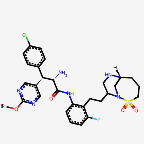 CC(C)Oc1ncc([C@H](c2ccc(Cl)cc2)[C@H](N)C(=O)Nc2cccc(F)c2CCC2CN[C@@H]3CCCS(=O)(=O)N2C3)cn1